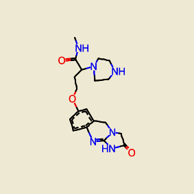 CNC(=O)C(CCOc1ccc2c(c1)CN1CC(=O)NC1=N2)N1CCNCC1